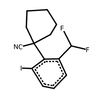 N#CC1(c2c(I)cccc2C(F)F)CCCCC1